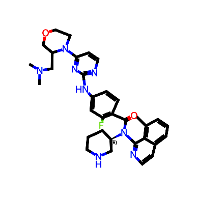 Cc1cccc2ccnc(N(C(=O)c3ccc(Nc4nccc(N5CCOCC5CN(C)C)n4)cc3F)[C@@H]3CCCNC3)c12